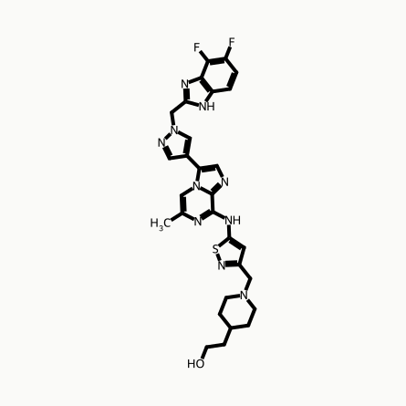 Cc1cn2c(-c3cnn(Cc4nc5c(F)c(F)ccc5[nH]4)c3)cnc2c(Nc2cc(CN3CCC(CCO)CC3)ns2)n1